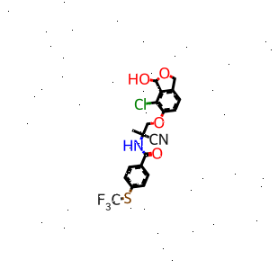 CC(C#N)(COc1ccc2c(c1Cl)C(O)OC2)NC(=O)c1ccc(SC(F)(F)F)cc1